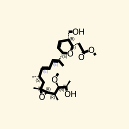 COC(=O)C[C@@H]1O[C@H](/C(C)=C/C=C/[C@@H](C)C[C@@]2(C)O[C@@H]2[C@H](C)[C@@H](OC)[C@@H](C)O)C=C[C@@H]1CO